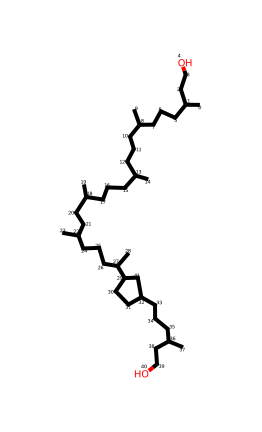 CC(CCO)CCCC(C)CCCC(C)CCCC(C)CCC(C)CCCC(C)C1CCC(CCCC(C)CCO)C1